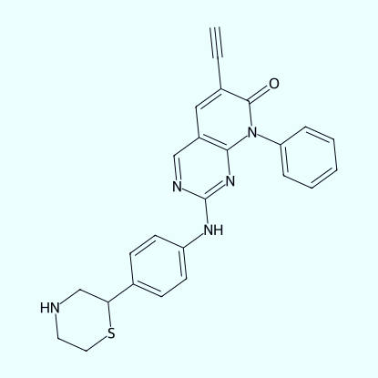 C#Cc1cc2cnc(Nc3ccc(C4CNCCS4)cc3)nc2n(-c2ccccc2)c1=O